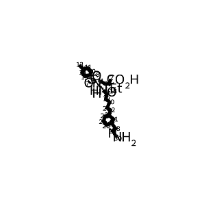 CCC(C(=O)O)C(CNS(=O)(=O)c1ccc(C)cc1)NC(=O)CCCCc1cccc(C=NN)c1